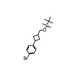 CC(C)(C)[Si](C)(C)OCC1CC(c2ccc(Br)cc2)C1